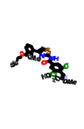 CO/C(=C/c1c(Cl)cc(C(=O)Nc2nc(-c3cccc(COCCC(C)(C)C)c3OC)cs2)cc1Cl)C(=O)O